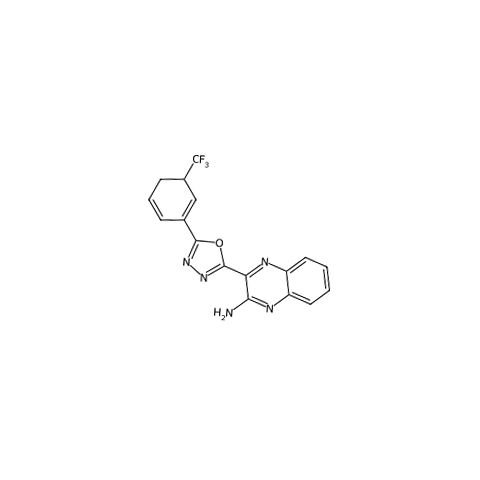 Nc1nc2ccccc2nc1-c1nnc(C2=CC(C(F)(F)F)CC=C2)o1